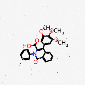 COc1cc(-c2c(C(=O)O)n(-c3ccccc3)c(=O)c3ccccc23)cc(OC)c1OC